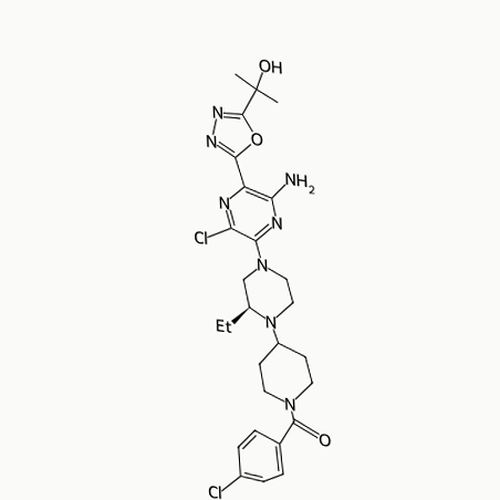 CC[C@H]1CN(c2nc(N)c(-c3nnc(C(C)(C)O)o3)nc2Cl)CCN1C1CCN(C(=O)c2ccc(Cl)cc2)CC1